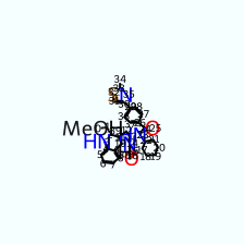 COC[C@@H]1Nc2ccccc2[C@H]2[C@@H]1CCN2C(=O)[C@H]1CCCC[C@H]1NC(=O)c1ccc(-c2csc(C)n2)cc1